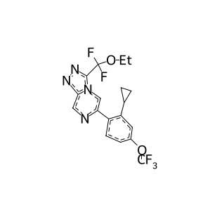 CCOC(F)(F)c1nnc2cnc(-c3ccc(OC(F)(F)F)cc3C3CC3)cn12